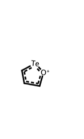 c1c[o+][te]c1